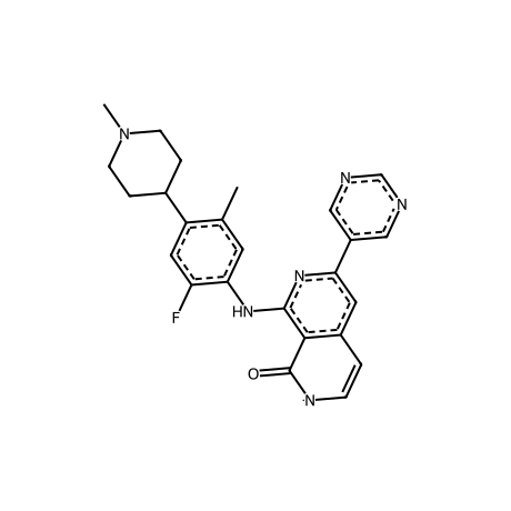 Cc1cc(Nc2nc(-c3cncnc3)cc3c2C(=O)[N]C=C3)c(F)cc1C1CCN(C)CC1